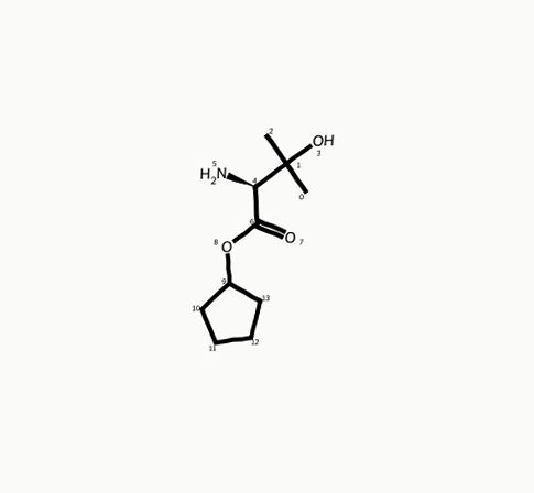 CC(C)(O)[C@H](N)C(=O)OC1CCCC1